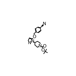 CC(C)(C)OC(=O)N1CCC(n2nccc2OCc2ccc(C#N)cc2)CC1